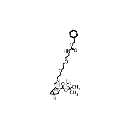 CC(C)(C)OC(=O)N1C[C@@H]2CC2[C@H]1CNCCOCCOCCNC(=O)OCc1ccccc1